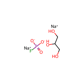 O=P([O-])([O-])F.OCC(O)CO.[Na+].[Na+]